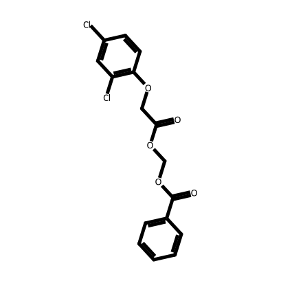 O=C(COc1ccc(Cl)cc1Cl)OCOC(=O)c1ccccc1